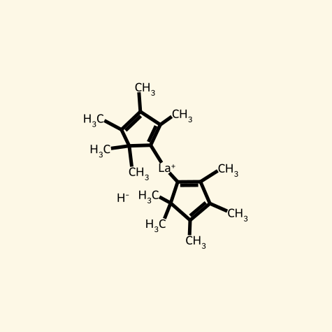 CC1=C(C)C(C)(C)[C]([La+][C]2=C(C)C(C)=C(C)C2(C)C)=C1C.[H-]